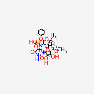 COC[C@H]1O[C@@H](n2cc(O[P@](O)(=S)NC(C)=C(Oc3ccccc3)OC(C)C)c(=O)[nH]c2=O)[C@H](O)[C@@H]1O